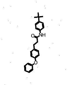 CC(C)(C)c1ccc(NC(=O)CCc2ccc(Oc3ccccc3)cc2)cc1